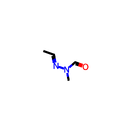 CC=NN(C)C=O